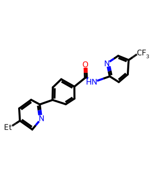 CCc1ccc(-c2ccc(C(=O)Nc3ccc(C(F)(F)F)cn3)cc2)nc1